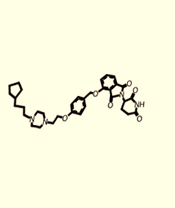 O=C1CCC(N2C(=O)c3cccc(OCc4ccc(OCCN5CCN(CCCC6CCCC6)CC5)cc4)c3C2=O)C(=O)N1